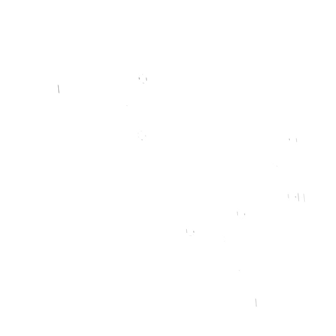 CC(C)(I)C(=O)Oc1ccc(C(=O)O)c(OC(=O)C(C)(C)I)c1